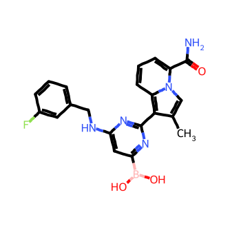 Cc1cn2c(C(N)=O)cccc2c1-c1nc(NCc2cccc(F)c2)cc(B(O)O)n1